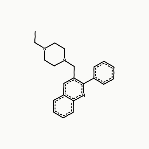 CCN1CCN(Cc2cc3ccccc3nc2-c2ccccc2)CC1